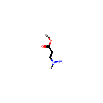 CCOC(=O)CCN(N)CC